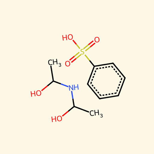 CC(O)NC(C)O.O=S(=O)(O)c1ccccc1